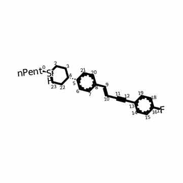 CCCCC[Si@H]1CC[C@H](c2ccc(/C=C/C#Cc3ccc(F)cc3)cc2)CC1